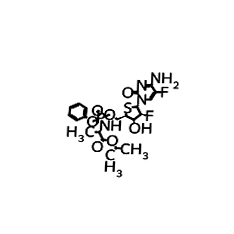 CC(C)OC(=O)C(C)N[P@](=O)(OC[C@H]1S[C@@H](n2cc(F)c(N)nc2=O)[C@@H](F)[C@@H]1O)Oc1ccccc1